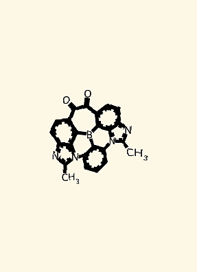 Cc1nc2ccc3c4c2n1-c1cccc2c1B4c1c(ccc4nc(C)n-2c14)C(=O)C3=O